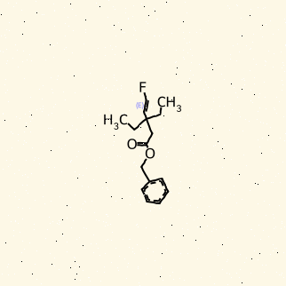 CCC(/C=C/F)(CC)CC(=O)OCc1ccccc1